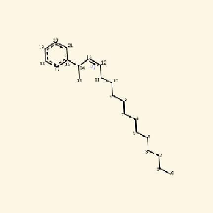 CCCCCCCCCCCC/C=C\C(C)c1ccccc1